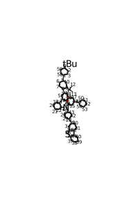 CC(C)(C)c1ccc(-c2ccc3c(c2)C(C)(C)c2ccc(-c4ccccc4N(c4ccc(-c5ccc6c(c5)sc5ccccc56)cc4)c4cccc(-c5ccccc5)c4)cc2-3)cc1